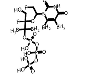 Bc1c(B)n(C(CF)O[C@@](F)(CO)C(B)(B)OP(=O)(O)OP(=O)(O)OP(=O)(O)O)c(=O)[nH]c1=O